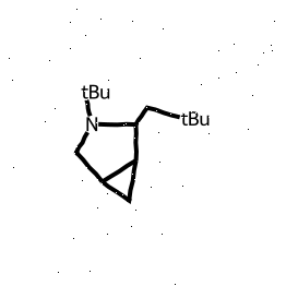 CC(C)(C)CC1C2CC2CN1C(C)(C)C